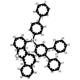 c1ccc(-c2ccc(N(c3ccc(-c4ccccc4)c(-c4ccccc4)c3)c3cccc4oc5c6ccccc6ccc5c34)cc2)cc1